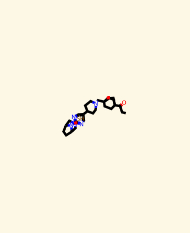 CCC(=O)C12CCC(CN3CCC(c4cnc(N5C6CCC5CN(S)C6)nc4)CC3)(CC1)CC2